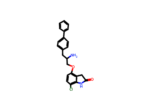 NC(COc1ccc(Cl)c2c1CC(=O)N2)Cc1ccc(-c2ccccc2)cc1